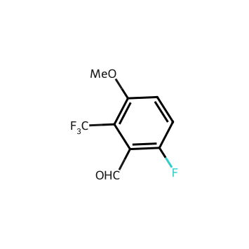 COc1ccc(F)c(C=O)c1C(F)(F)F